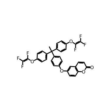 CC(c1ccc(OC(F)=C(F)F)cc1)(c1ccc(OC(F)=C(F)F)cc1)c1ccc(Oc2ccc3oc(=O)ccc3c2)cc1